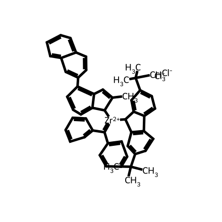 CC1=Cc2c(-c3ccc4ccccc4c3)cccc2[CH]1[Zr+2](=[C](c1ccccc1)c1ccccc1)[CH]1c2cc(C(C)(C)C)ccc2-c2ccc(C(C)(C)C)cc21.[Cl-].[Cl-]